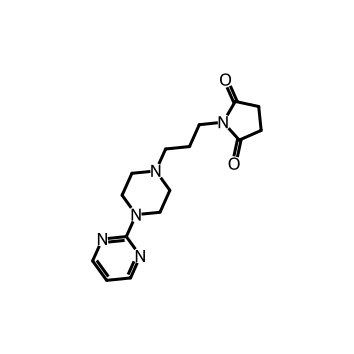 O=C1CCC(=O)N1CCCN1CCN(c2ncccn2)CC1